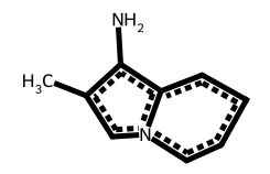 Cc1cn2ccccc2c1N